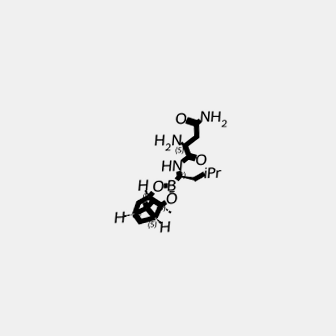 CC(C)C[C@H](NC(=O)[C@@H](N)CC(N)=O)B1O[C@@H]2C[C@@H]3C[C@@H](C3(C)C)[C@]2(C)O1